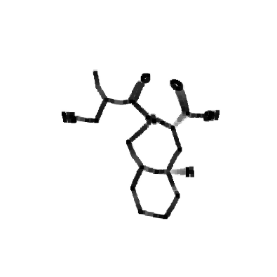 CC(CS)C(=O)N1CC2CCCC[C@@H]2C[C@H]1C(=O)O